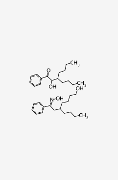 CCCCC(CCCC)C(O)C(=O)c1ccccc1.CCCCC(CCCCO)CC(=NO)c1ccccc1